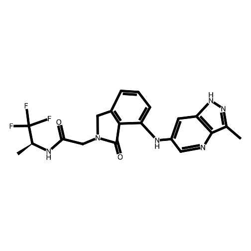 Cc1n[nH]c2cc(Nc3cccc4c3C(=O)N(CC(=O)N[C@@H](C)C(F)(F)F)C4)cnc12